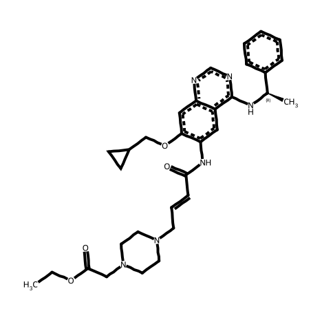 CCOC(=O)CN1CCN(CC=CC(=O)Nc2cc3c(N[C@H](C)c4ccccc4)ncnc3cc2OCC2CC2)CC1